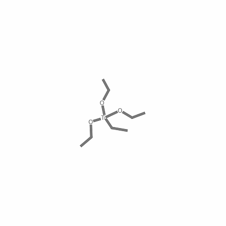 CC[O][Ti]([CH2]C)([O]CC)[O]CC